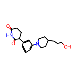 O=C1CCC(c2cccc(N3CCC(CCCO)CC3)c2)C(=O)N1